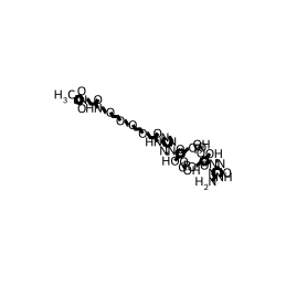 CC1=CC(=O)N(CCC(=O)NCCOCCOCCOCCOCCC(=O)Nc2ncnc3c2ncn3C2OC3COP(=O)(O)OC4C(COP(=O)(O)OC3C2O)OC(n2cnc3c(=O)[nH]c(N)nc32)C4O)C1=O